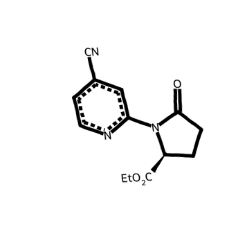 CCOC(=O)[C@@H]1CCC(=O)N1c1cc(C#N)ccn1